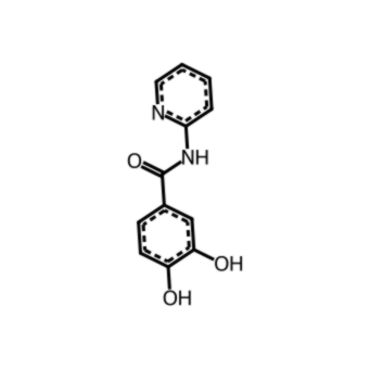 O=C(Nc1ccccn1)c1ccc(O)c(O)c1